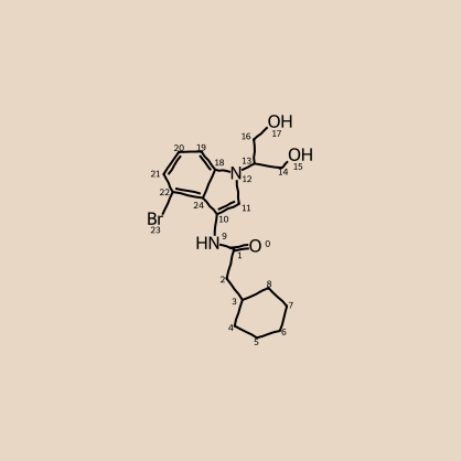 O=C(CC1CCCCC1)Nc1cn(C(CO)CO)c2cccc(Br)c12